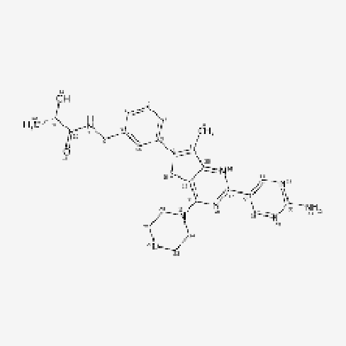 Cc1c(-c2cccc(CNC(=O)[C@H](C)O)c2)sc2c(N3CCOCC3)nc(-c3cnc(N)nc3)nc12